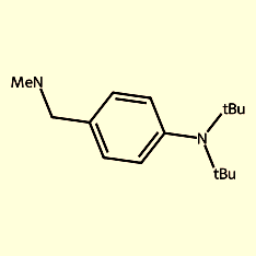 CNCc1ccc(N(C(C)(C)C)C(C)(C)C)cc1